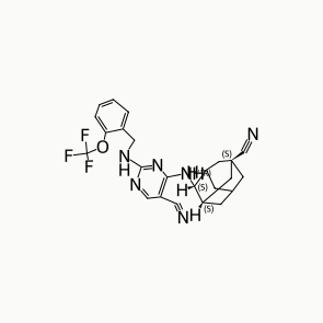 N#Cc1cnc(NCc2ccccc2OC(F)(F)F)nc1N[C@@H]1[C@@H]2CC3C[C@H]1C[C@@](C#N)(C3)C2